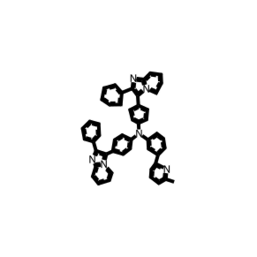 Cc1cccc(-c2cccc(N(c3ccc(-c4c(-c5ccccc5)nc5ccccn45)cc3)c3ccc(-c4c(-c5ccccc5)nc5ccccn45)cc3)c2)n1